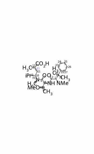 CNC(C(=O)N[C@H](C(=O)N(C)[C@H](/C=C(\C)C(=O)O)C(C)C)[C@@H](C)OC)C(C)(C)c1ccccc1